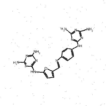 Nc1nc(N)nc(Nc2ccc(/N=C/c3ccc(Nc4nc(N)nc(N)n4)o3)cc2)n1